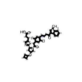 Cn1cc(C(=O)C/C=C/c2cc(F)c(CC(=O)N3C[C@@H](OC4CCC4)C[C@H]3c3ncc(CCC(=O)O)s3)cc2Cl)c2ccccc21